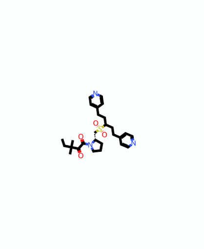 CCC(C)(C)C(=O)C(=O)N1CCC[C@H]1CS(=O)(=O)C(CCc1ccncc1)CCc1ccncc1